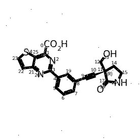 O=C(O)c1nc(-c2cccc(C#C[C@@]3(CO)CCNC3=O)c2)nc2ccsc12